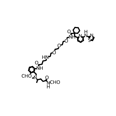 CC(CCC(=O)NC=O)N(C)Cc1c(C=O)cccc1NC(=O)CCCNCCOCCOCCOCNC(=O)C1(Cc2cccc(Nc3nccs3)n2)CCCCC1